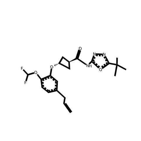 C=CCc1ccc(OC(F)F)c(O[C@H]2C[C@H](C(=O)Nc3nnc(C(C)(C)C)o3)C2)c1